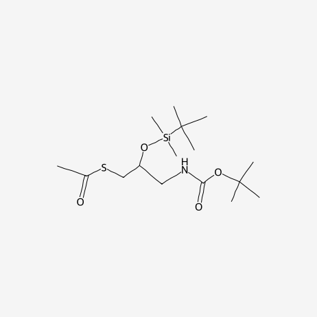 CC(=O)SCC(CNC(=O)OC(C)(C)C)O[Si](C)(C)C(C)(C)C